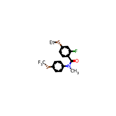 CCSc1ccc(C(=O)N(C)c2ccc(SC(F)(F)F)cc2)c(F)c1